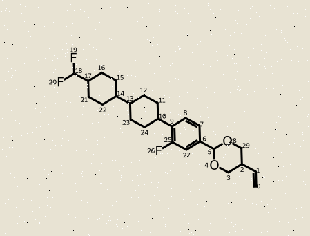 C=CC1COC(c2ccc(C3CCC(C4CCC(C(F)F)CC4)CC3)c(F)c2)OC1